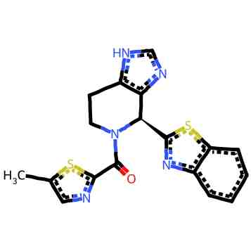 Cc1cnc(C(=O)N2CCc3[nH]cnc3[C@H]2c2nc3ccccc3s2)s1